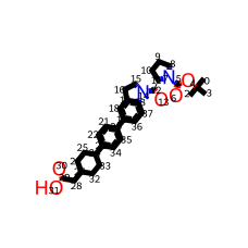 CC(C)(C)OC(=O)N1CCC[C@H]1C(=O)N1CCc2cc(-c3ccc(C4CCC(CC(=O)O)CC4)cc3)ccc21